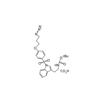 CC(C)(C)OC(=O)N[C@@H](Cc1cn(S(=O)(=O)c2ccc(OCCCN=[N+]=[N-])cc2)c2ccccc12)C(=O)O